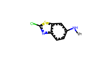 CC(C)Nc1ccc2nc(Cl)sc2c1